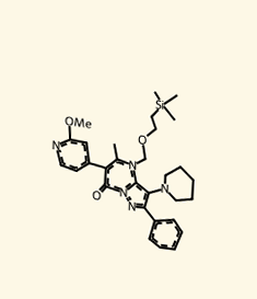 COc1cc(-c2c(C)n(COCC[Si](C)(C)C)c3c(N4CCCCC4)c(-c4ccccc4)nn3c2=O)ccn1